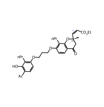 CCCc1c(OCCCOc2ccc3c(c2CCC)O[C@](C)(/C=C\C(=O)OCC)CC3=O)ccc(C(C)=O)c1O